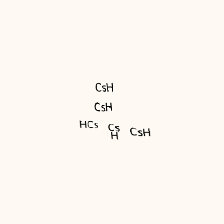 [CsH].[CsH].[CsH].[CsH].[CsH]